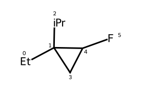 CCC1(C(C)C)CC1F